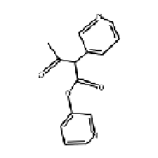 CC(=O)C(C(=O)Oc1cccnc1)c1cccnc1